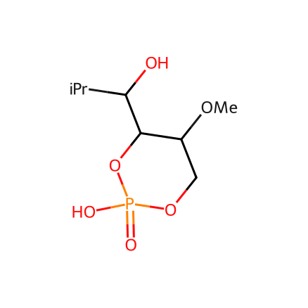 COC1COP(=O)(O)OC1C(O)C(C)C